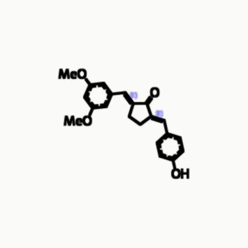 COc1cc(/C=C2\CC/C(=C\c3ccc(O)cc3)C2=O)cc(OC)c1